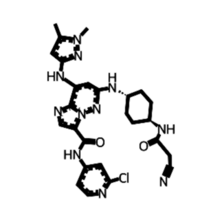 Cc1cc(Nc2cc(N[C@H]3CC[C@H](NC(=O)CC#N)CC3)nn3c(C(=O)Nc4ccnc(Cl)c4)cnc23)nn1C